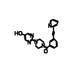 O=C(c1cccc(C#Cc2ccccn2)c1)N1CCN(c2ncc(O)cn2)CC1